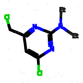 CCN(CC)c1nc(Cl)cc(CCl)n1